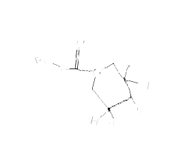 [2H]C1([2H])CN(C(=O)OC(C)(C)C)CC([2H])([2H])C1C